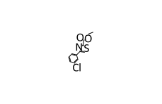 CCOC(=O)c1nc(-c2cccc(Cl)c2)cs1